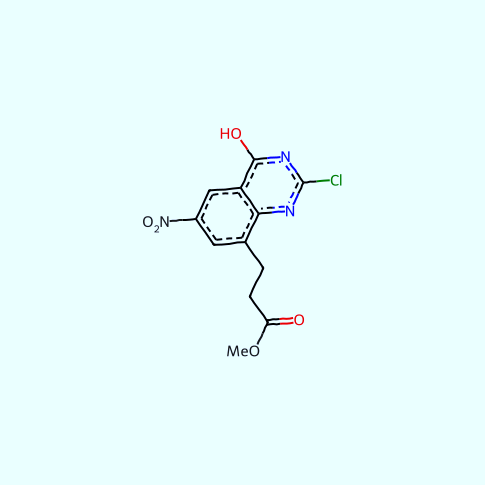 COC(=O)CCc1cc([N+](=O)[O-])cc2c(O)nc(Cl)nc12